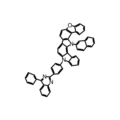 c1ccc(-c2nc(-c3ccc(-n4c5ccccc5c5c4ccc4c6ccc7oc8ccccc8c7c6n(-c6ccc7ccccc7c6)c45)cc3)nc3ccccc23)cc1